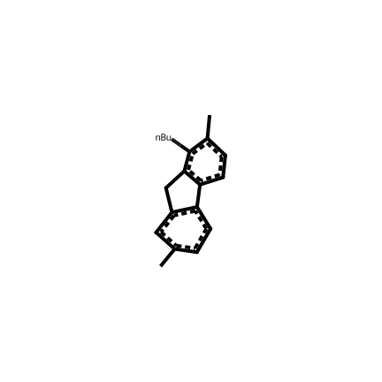 CCCCc1c(C)ccc2c1Cc1cc(C)ccc1-2